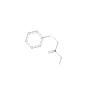 O=C(O)CC(=S)[C@H](Nc1ccccc1)C(=O)O